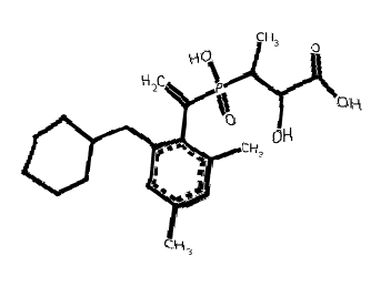 C=C(c1c(C)cc(C)cc1CC1CCCCC1)P(=O)(O)C(C)C(O)C(=O)O